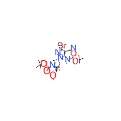 COC[C@@H]1CC(n2nc(Br)c(C#N)c2N(C)C(=O)OC(C)(C)C)CN1C(=O)OC(C)(C)C